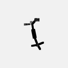 C[C@H](O)C#C[Si](C)(C)C